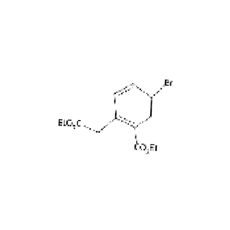 CCOC(=O)Cc1ccc(Br)cc1C(=O)OCC